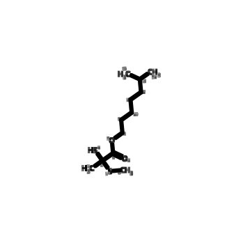 CSC(C)(S)C(=O)OCCCCCC(C)C